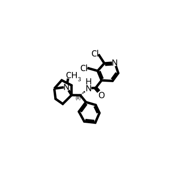 CN1C2CCC1([C@H](NC(=O)c1ccnc(Cl)c1Cl)c1ccccc1)CC2